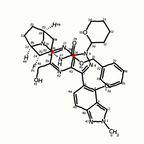 Cn1cc2c(Cl)c(-c3nn(C4CCCCO4)c4nc(N5[C@H]6CC[C@@H]5[C@@H](F)[C@@H](NC(=O)OCc5ccccc5)C6)c(CO)nc34)ccc2n1